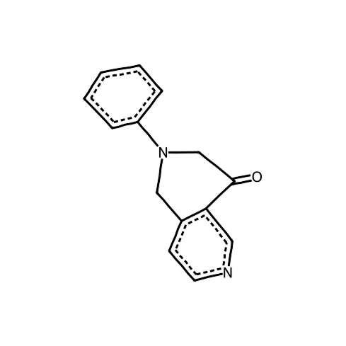 O=C1CN(c2ccccc2)Cc2ccncc21